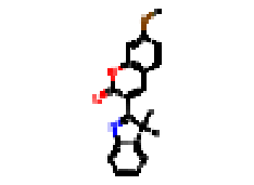 CSc1ccc2cc(C3=Nc4ccccc4C3(C)C)c(=O)oc2c1